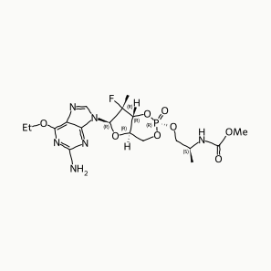 CCOc1nc(N)nc2c1ncn2[C@@H]1O[C@@H]2CO[P@@](=O)(OC[C@H](C)NC(=O)OC)O[C@H]2[C@@]1(C)F